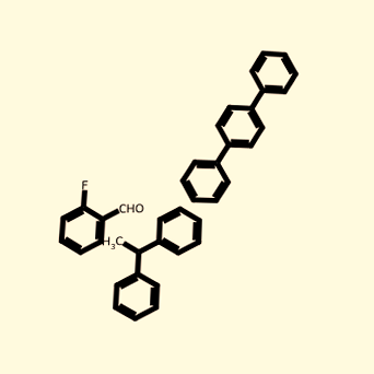 CC(c1ccccc1)c1ccccc1.O=Cc1ccccc1F.c1ccc(-c2ccc(-c3ccccc3)cc2)cc1